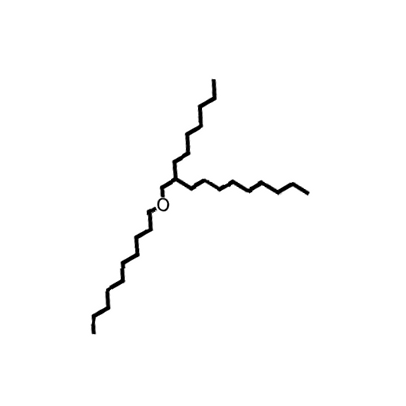 CCCCCCCCCCOCC(CCCCCCC)CCCCCCCCC